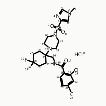 Cl.Cn1cnc(S(=O)(=O)N2CCN(C3(CNC(=O)c4ccc(Cl)cc4Cl)CCC(F)(F)CC3)CC2)c1